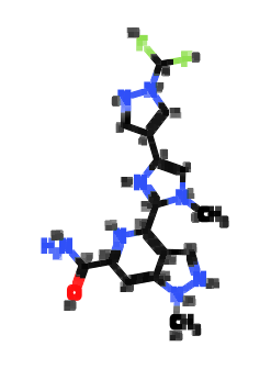 Cn1cc(-c2cnn(C(F)F)c2)nc1-c1nc(C(N)=O)cc2c1cnn2C